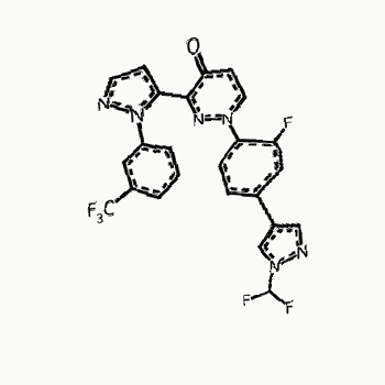 O=c1ccn(-c2ccc(-c3cnn(C(F)F)c3)cc2F)nc1-c1ccnn1-c1cccc(C(F)(F)F)c1